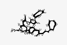 CC(/C=C/Cc1ccccc1)Cc1ccc(C2(O)CC(CC(C)OC3CCN(c4ccccc4)C3)CN(C(C)C)C2)cc1